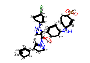 CS(=O)(=O)c1ccc(NC2CCC(c3c(C(=O)N4CC[C@H](c5ccccc5)C4)cnn3-c3ccc(F)cc3)CC2)cc1